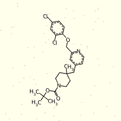 CC1(Cc2ccnc(COc3ccc(Cl)cc3Cl)c2)CCN(C(=O)OC(C)(C)C)CC1